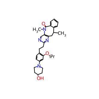 CC(C)Oc1cc(N2CCC(O)CC2)ccc1CCc1ncc2c(n1)CC(C)c1ccccc1C(=O)N2C